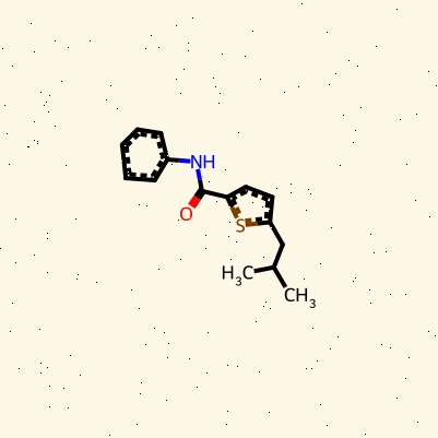 CC(C)Cc1ccc(C(=O)Nc2ccccc2)s1